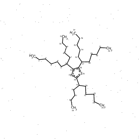 CCCCCCC(CCCCC)c1nc(C(CCCC)CCCCC)sc1C(CCCCC)CCCCC